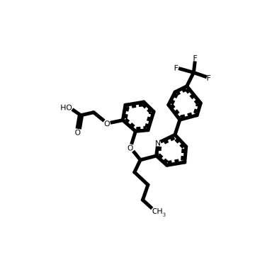 CCCCC(Oc1ccccc1OCC(=O)O)c1cccc(-c2ccc(C(F)(F)F)cc2)n1